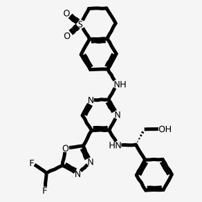 O=S1(=O)CCCc2cc(Nc3ncc(-c4nnc(C(F)F)o4)c(N[C@H](CO)c4ccccc4)n3)ccc21